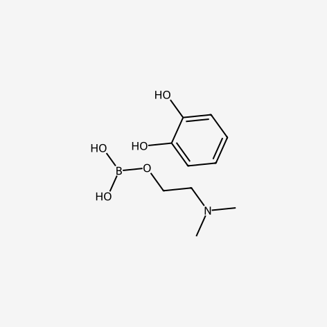 CN(C)CCOB(O)O.Oc1ccccc1O